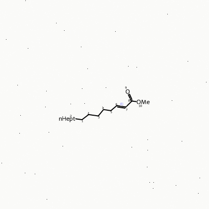 CCCCCCCCCCCC/C=C/C(=O)OC